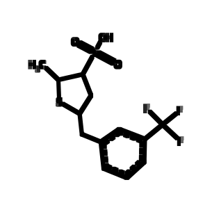 CC1SC(Cc2cccc(C(F)(F)F)c2)CC1S(=O)(=O)O